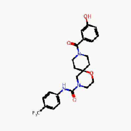 O=C(Nc1ccc(C(F)(F)F)cc1)N1CCOC2(CCN(C(=O)c3cccc(O)c3)CC2)C1